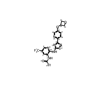 CCC(=O)Nc1cc(C(F)(F)F)cnc1Nc1nc(-c2ccc(OC3COC3)cn2)ns1